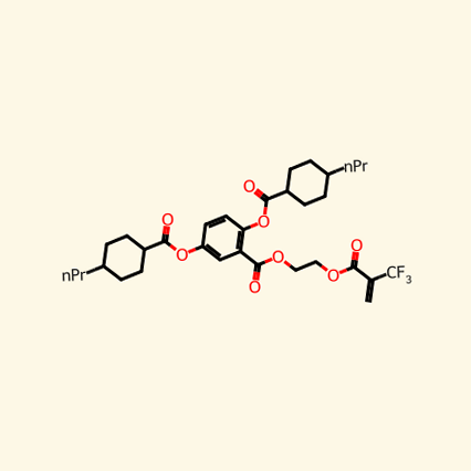 C=C(C(=O)OCCOC(=O)c1cc(OC(=O)C2CCC(CCC)CC2)ccc1OC(=O)C1CCC(CCC)CC1)C(F)(F)F